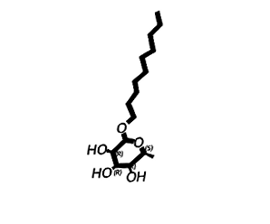 CCCCCCCCCCOC1O[C@@H](C)[C@H](O)[C@@H](O)[C@H]1O